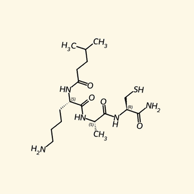 CC(C)CCC(=O)N[C@@H](CCCCN)C(=O)N[C@@H](C)C(=O)N[C@@H](CS)C(N)=O